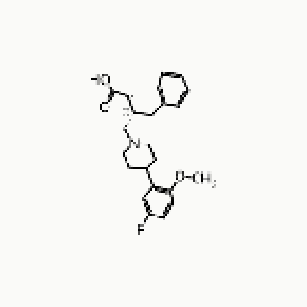 COc1ccc(F)cc1C1CCN(C[C@H]([CH]C(=O)O)Cc2ccccc2)CC1